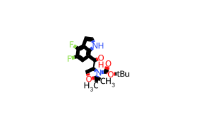 CC(C)(C)OC(=O)N1[C@H](C(O)c2cc(F)c(F)c3cc[nH]c23)COC1(C)C